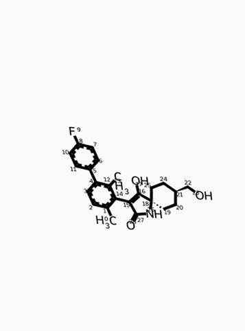 Cc1ccc(-c2ccc(F)cc2)c(C)c1C1=C(O)[C@]2(CC[C@H](CO)CC2)NC1=O